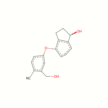 N#Cc1ccc(Oc2cccc3c2CC[C@H]3O)cc1CO